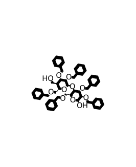 OC[C@H]1[C@H](OCc2ccccc2)[C@@H](OCc2ccccc2)[C@@H](O[C@H]2[C@H](OCc3ccccc3)[C@@H](OCc3ccccc3)[C@@H](O)O[C@@H]2COCc2ccccc2)O[C@@H]1COCc1ccccc1